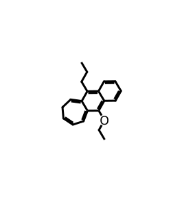 CCCc1c2c(c(OCC)c3ccccc13)=CC=CCC=2